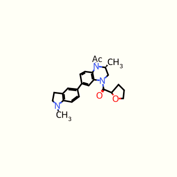 CC(=O)N1c2ccc(-c3ccc4c(c3)CCN4C)cc2N(C(=O)C2CCCO2)C[C@@H]1C